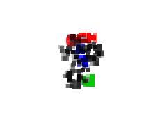 CC(C)(C)C1CN(Cc2ccccc2Cl)c2ccccc2N1C(=O)O